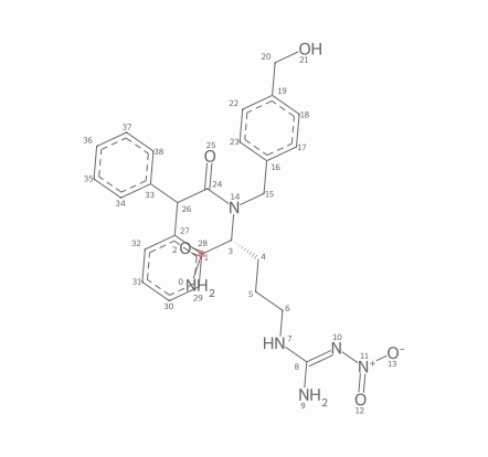 NC(=O)[C@@H](CCCNC(N)=N[N+](=O)[O-])N(Cc1ccc(CO)cc1)C(=O)C(c1ccccc1)c1ccccc1